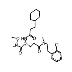 CON(C)C(=O)[Si@H](CCC(=O)N(C)CCc1ccccc1Cl)NC(=O)CCC1CCCCC1